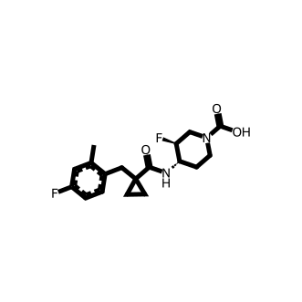 Cc1cc(F)ccc1CC1(C(=O)N[C@H]2CCN(C(=O)O)C[C@@H]2F)CC1